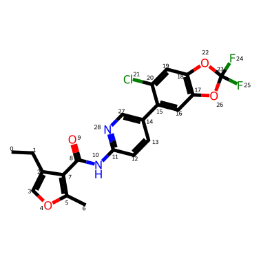 CCc1coc(C)c1C(=O)Nc1ccc(-c2cc3c(cc2Cl)OC(F)(F)O3)cn1